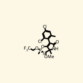 COCC1(C)NC(=O)C(c2c(C)cc(Cl)cc2Cl)=C1OP(C)(=S)OCC(F)(F)F